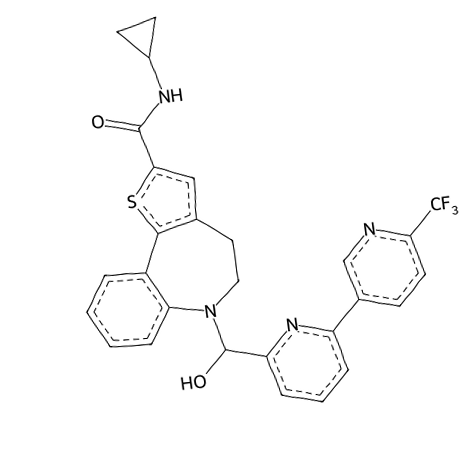 O=C(NC1CC1)c1cc2c(s1)-c1ccccc1N(C(O)c1cccc(-c3ccc(C(F)(F)F)nc3)n1)CC2